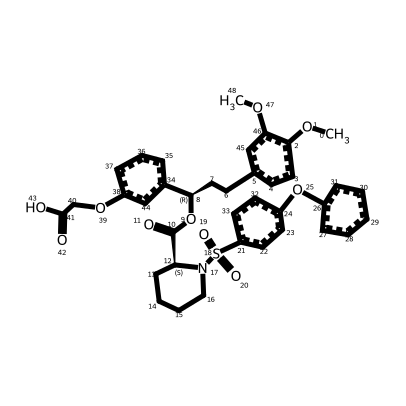 COc1ccc(CC[C@@H](OC(=O)[C@@H]2CCCCN2S(=O)(=O)c2ccc(Oc3ccccc3)cc2)c2cccc(OCC(=O)O)c2)cc1OC